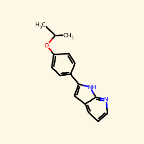 CC(C)Oc1ccc(-c2cc3cccnc3[nH]2)cc1